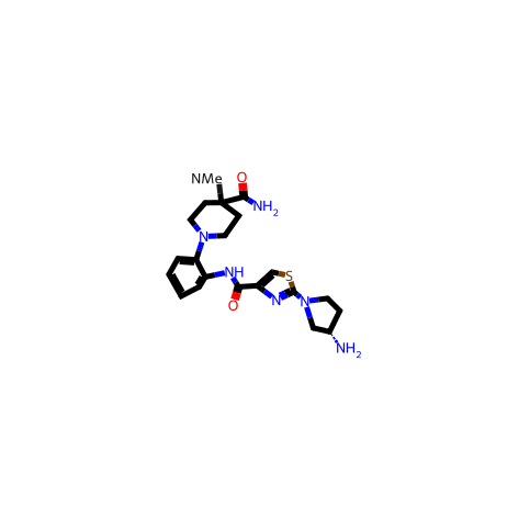 CNC1(C(N)=O)CCN(c2ccccc2NC(=O)c2csc(N3CC[C@H](N)C3)n2)CC1